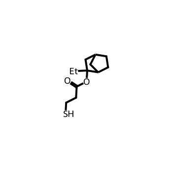 CCC1(OC(=O)CCS)CC2CCC1C2